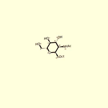 CCCCCCCC[C@H]1O[C@H](CO)[C@@H](O)[C@H](O)[C@H]1NC(C)=O